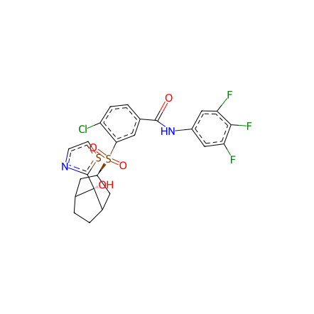 O=C(Nc1cc(F)c(F)c(F)c1)c1ccc(Cl)c(S(=O)(=O)[C@H]2CC3CCC(C2)[C@@]3(O)c2nccs2)c1